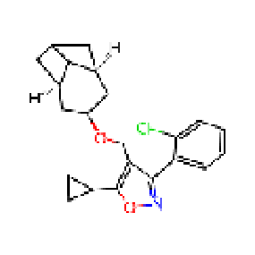 Clc1ccccc1-c1noc(C2CC2)c1CO[C@H]1C[C@H]2CC3C[C@@H](C1)C32